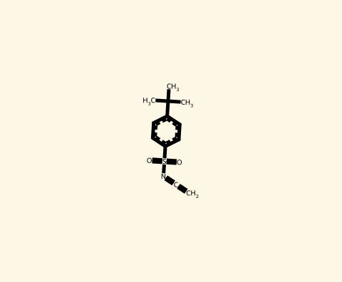 C=C=NS(=O)(=O)c1ccc(C(C)(C)C)cc1